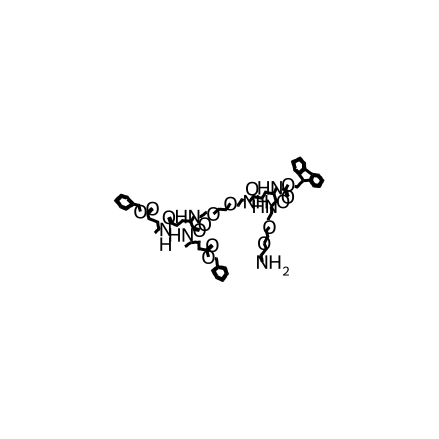 CC(CCC(=O)OCc1ccccc1)NC(=O)CCC(NC(=O)COCCOCCNC(=O)CCC(NC(=O)OCC1c2ccccc2-c2ccccc21)C(=O)NCCOCCOCCN)C(=O)NC(C)CCC(=O)OCc1ccccc1